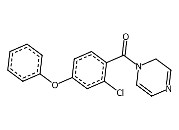 O=C(c1ccc(Oc2ccccc2)cc1Cl)N1C=CN=CC1